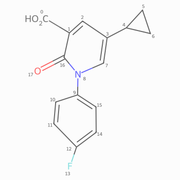 O=C(O)c1cc(C2CC2)cn(-c2ccc(F)cc2)c1=O